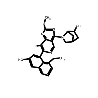 CCc1cccc2cc(O)cc(-c3ncc4c(N5CC6CC(O)C5C6)nc(OC)nc4c3F)c12